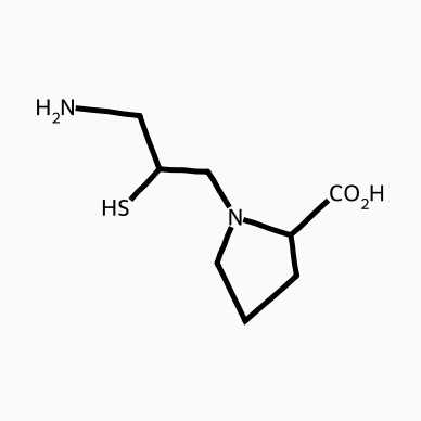 NCC(S)CN1CCCC1C(=O)O